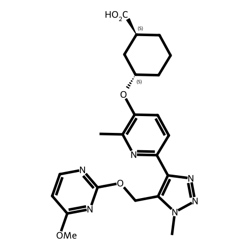 COc1ccnc(OCc2c(-c3ccc(O[C@H]4CCC[C@H](C(=O)O)C4)c(C)n3)nnn2C)n1